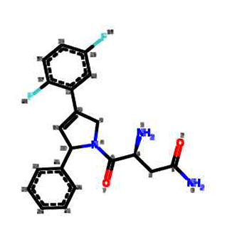 NC(=O)C[C@H](N)C(=O)N1CC(c2cc(F)ccc2F)=CC1c1ccccc1